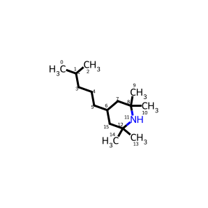 C[C](C)CCCC1CC(C)(C)NC(C)(C)C1